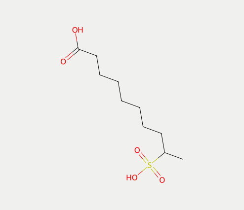 CC(CCCCCCCC(=O)O)S(=O)(=O)O